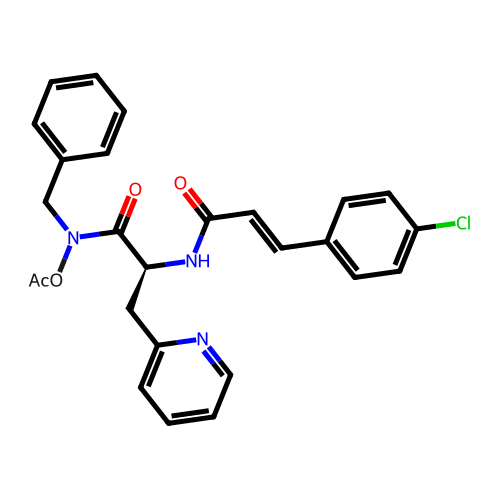 CC(=O)ON(Cc1ccccc1)C(=O)[C@H](Cc1ccccn1)NC(=O)/C=C/c1ccc(Cl)cc1